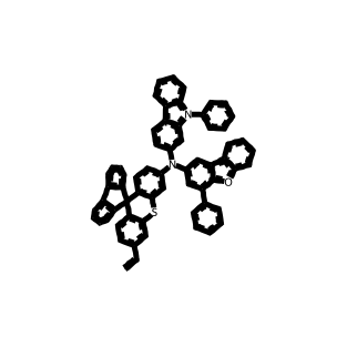 C=Cc1ccc2c(c1)Sc1cc(N(c3cc(-c4ccccc4)c4oc5ccccc5c4c3)c3ccc4c5ccccc5n(-c5ccccc5)c4c3)ccc1C21c2ccccc2-c2ccccc21